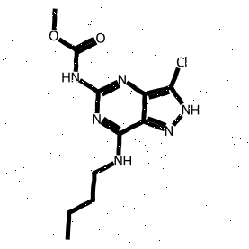 CCCCNc1nc(NC(=O)OC)nc2c(Cl)[nH]nc12